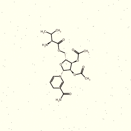 CC(=O)O[C@@H]1[C@H](OC(C)=O)[C@@H](COC(=O)[C@@H](N)C(C)C)O[C@H]1N1C=CCC(C(N)=O)=C1